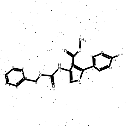 COC(=O)c1c(NC(=O)OCc2ccccc2)csc1-c1ccc(F)cc1